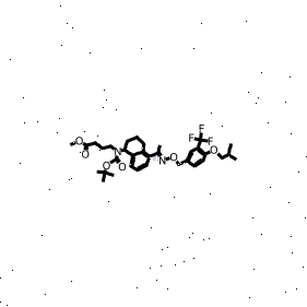 COC(=O)CCCN(C(=O)OC(C)(C)C)C1CCCc2c(/C(C)=N/OCc3ccc(OCC(C)C)c(C(F)(F)F)c3)cccc21